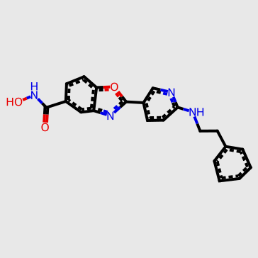 O=C(NO)c1ccc2oc(-c3ccc(NCCc4ccccc4)nc3)nc2c1